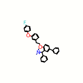 CN(C)C(c1ccccc1)c1cc(-c2ccccc2)ccc1OCCc1cccc(Oc2ccc(F)cc2)c1